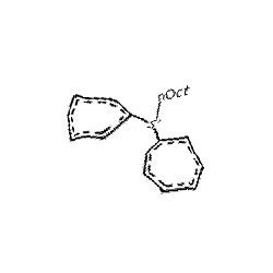 CCCCCCCC[S+](c1ccccc1)c1ccccc1